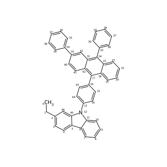 CCc1ccc2c3ccccc3n(-c3ccc(-c4c5ccccc5c(-c5ccccc5)c5cc(-c6ccccc6)ccc45)cc3)c2c1